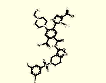 CCN1CCN(c2cc(C(N)=O)c(C(=O)Nc3n[nH]c4c3CN(S(=O)(=O)c3cc(F)cc(F)c3)CC4)cc2-c2ncc(C(=O)O)n2C)CC1